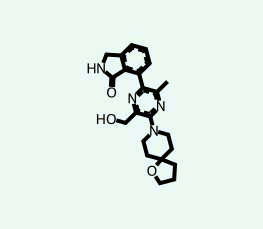 Cc1nc(N2CCC3(CCCO3)CC2)c(CO)nc1-c1cccc2c1C(=O)NC2